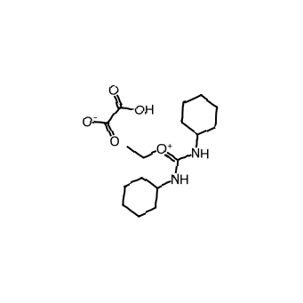 CC[O+]=C(NC1CCCCC1)NC1CCCCC1.O=C([O-])C(=O)O